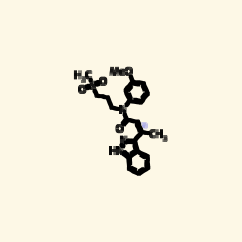 COc1cccc(N(CCCS(C)(=O)=O)C(=O)/C=C(/C)c2n[nH]c3ccccc23)c1